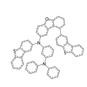 c1ccc(N(c2ccccc2)c2cccc(N(c3ccc4sc5ccccc5c4c3)c3ccc4oc5cccc(-c6ccc7sc8ccccc8c7c6)c5c4c3)c2)cc1